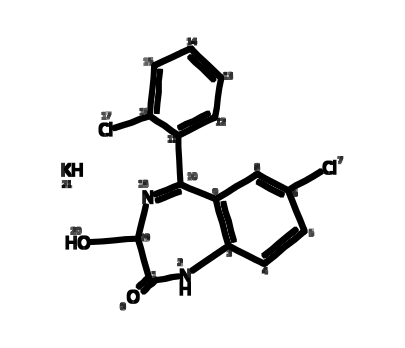 O=C1Nc2ccc(Cl)cc2C(c2ccccc2Cl)=NC1O.[KH]